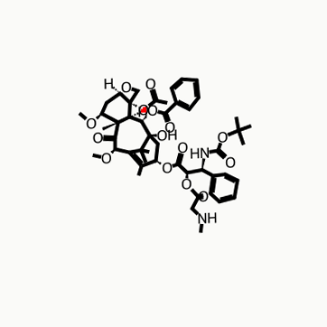 CNCC(=O)O[C@@H](C(=O)O[C@H]1C[C@@]2(O)[C@@H](OC(=O)c3ccccc3)[C@@H]3[C@]4(OC(C)=O)CO[C@@H]4C[C@H](OC)[C@@]3(C)C(=O)[C@H](OC)C(=C1C)C2(C)C)[C@@H](NC(=O)OC(C)(C)C)c1ccccc1